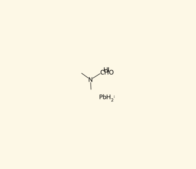 CN(C)C=O.I.[PbH2]